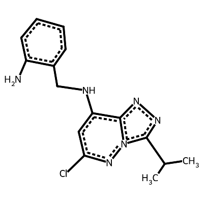 CC(C)c1nnc2c(NCc3ccccc3N)cc(Cl)nn12